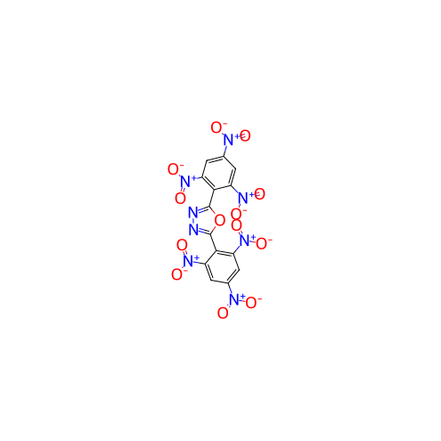 O=[N+]([O-])c1cc([N+](=O)[O-])c(-c2nnc(-c3c([N+](=O)[O-])cc([N+](=O)[O-])cc3[N+](=O)[O-])o2)c([N+](=O)[O-])c1